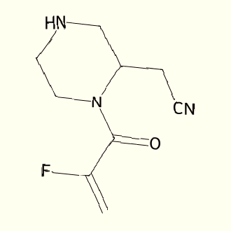 C=C(F)C(=O)N1CCNCC1CC#N